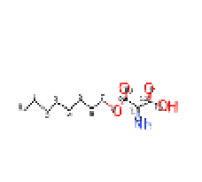 CCCCCCCCOC(=O)C(=N)C(=O)O